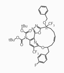 CC(C)(C)OC(=O)N(C(=O)OC(C)(C)C)c1cc(C(F)(F)F)c2nc1-c1nnc(o1)[C@@](OCc1ccccc1)(C(F)(F)F)CCC=CCC(Cc1ccc(F)cc1)O2